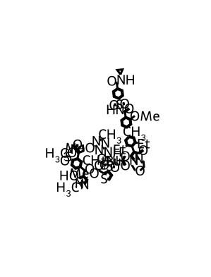 CCc1cc(C)cc(CC)c1-c1c(OC(=O)C(C)(C)C)n2n(c1=O)CCOCC2.COC(=O)c1sccc1S(=O)(=O)NC(=O)Nc1nc(C)nc(OC)n1.COc1ccccc1C(=O)NS(=O)(=O)c1ccc(C(=O)NC2CC2)cc1.Cc1c(C(=O)c2cnn(C)c2O)ccc(S(C)(=O)=O)c1C1=NOCC1